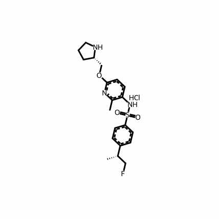 Cc1nc(OC[C@@H]2CCCN2)ccc1NS(=O)(=O)c1ccc([C@@H](C)CF)cc1.Cl